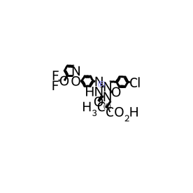 C[C@@H](Cn1c(=O)[nH]/c(=N\c2ccc(Oc3ncccc3OC(F)F)cc2)n(Cc2ccc(Cl)cc2)c1=O)C(=O)O